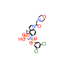 CCOP(=O)(O)CN(c1ccc2c(ccn2C(=O)CN2CCOCC2)c1)S(=O)(=O)c1cc(Cl)cc(Cl)c1